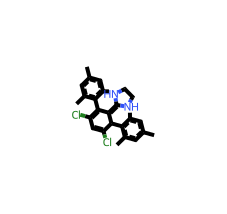 Cc1cc(C)c(C2=C(Cl)C=C(Cl)C(c3c(C)cc(C)cc3C)C2=C2NCCN2)c(C)c1